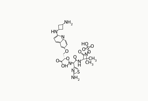 CC1(C)C(NC(=O)/C(=N\O[C@@H](COc2ccc3nc(NC4CC(N)C4)ccc3c2)C(=O)O)c2csc(N)n2)C(=O)N1OS(=O)(=O)O